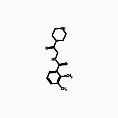 Cc1cccc(C(=O)NCC(=O)N2CCNCC2)c1C